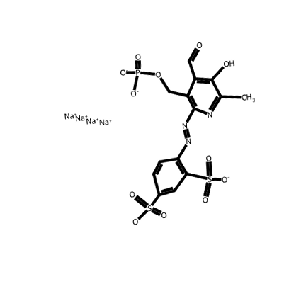 Cc1nc(N=Nc2ccc(S(=O)(=O)[O-])cc2S(=O)(=O)[O-])c(COP(=O)([O-])[O-])c(C=O)c1O.[Na+].[Na+].[Na+].[Na+]